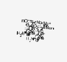 CCCCCCCCCC(CCCCCCCC)OC(=O)C(CC(N)=O)S(=O)(=O)[O-].CCCCCCCCCC(CCCCCCCC)OC(=O)C(CC(N)=O)S(=O)(=O)[O-].[Na+].[Na+]